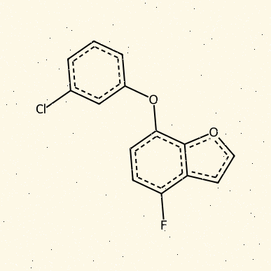 Fc1ccc(Oc2cccc(Cl)c2)c2occc12